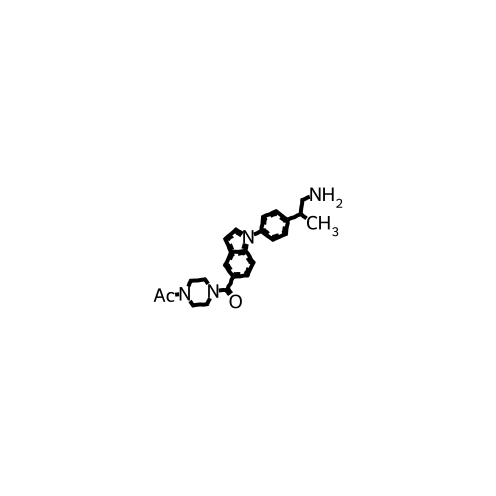 CC(=O)N1CCN(C(=O)c2ccc3c(ccn3-c3ccc(C(C)CN)cc3)c2)CC1